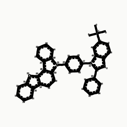 C[Si](C)(C)c1ccc2nc(-c3ccccc3)n(-c3ccc(-n4c5ccccc5c5c6oc7ccccc7c6ccc54)cc3)c2c1